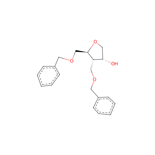 O[C@H]1CO[C@H](COCc2ccccc2)[C@H]1COCc1ccccc1